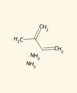 C=CC(=C)C.N.N